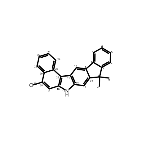 CC1(C)c2ccccc2-c2cc3c(cc21)[nH]c1cc(Cl)c2ccccc2c13